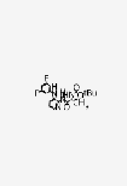 CC(NC(=O)OC(C)(C)C)C(=O)Nc1ncccc1Nc1cc(F)cc(F)c1